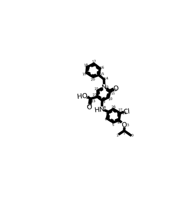 CC(C)Oc1ccc(Nc2cc(=O)n(Cc3ccccc3)cc2C(=O)O)cc1Cl